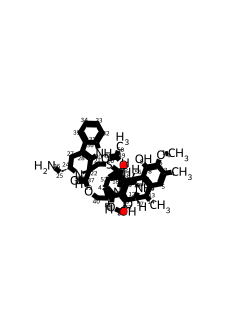 COc1c(C)cc2c(c1O)[C@H]1N[C@@H](C2C)[C@H](O)N2[C@H]1[C@@H]1SC[C@]3(N[C@H](CN)Cc4c3[nH]c3ccccc43)C(=O)OC[C@H]2c2c3c(c(C)c(OC(C)=O)c21)OCO3